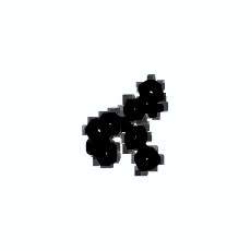 CC1(C)c2ccccc2-c2ccc(N(c3ccc(-c4ccccc4)cc3)c3ccc4ccc5oc6ncccc6c5c4c3)cc21